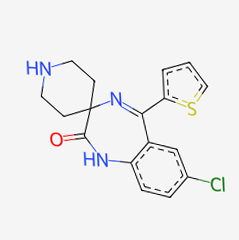 O=C1Nc2ccc(Cl)cc2C(c2cccs2)=NC12CCNCC2